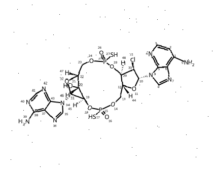 Nc1ccnc2c1ncn2[C@@H]1O[C@@H]2COP(=O)(S)O[C@@H]3[C@H](O)[C@@H](COP(=O)(S)O[C@H]2[C@H]1Cl)O[C@H]3n1cnc2c(N)ncnc21